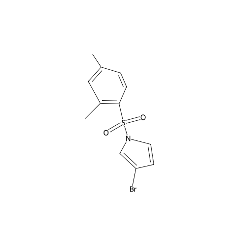 Cc1ccc(S(=O)(=O)n2ccc(Br)c2)c(C)c1